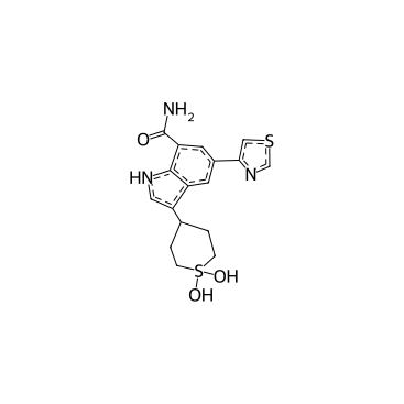 NC(=O)c1cc(-c2cscn2)cc2c(C3CCS(O)(O)CC3)c[nH]c12